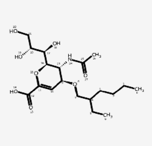 CCCCC(CC)CO[C@H]1C=C(C(=O)O)O[C@@H]([C@H](O)[C@H](O)CO)[C@@H]1NC(C)=O